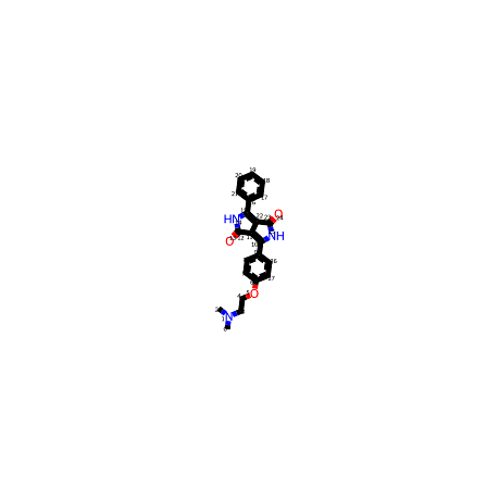 CN(C)CCOc1ccc(C2=C3C(=O)NC(c4ccccc4)=C3C(=O)N2)cc1